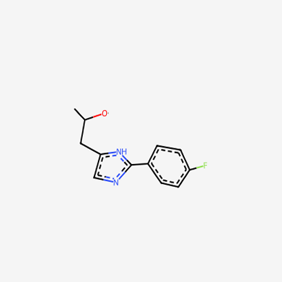 CC([O])Cc1cnc(-c2ccc(F)cc2)[nH]1